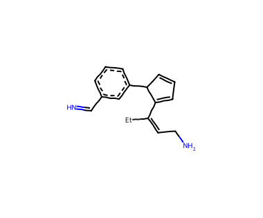 CC/C(=C/CN)C1=CC=CC1c1cccc(C=N)c1